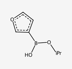 CC(C)OB(O)c1ccoc1